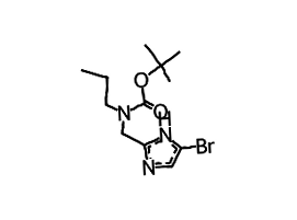 CCCN(Cc1ncc(Br)[nH]1)C(=O)OC(C)(C)C